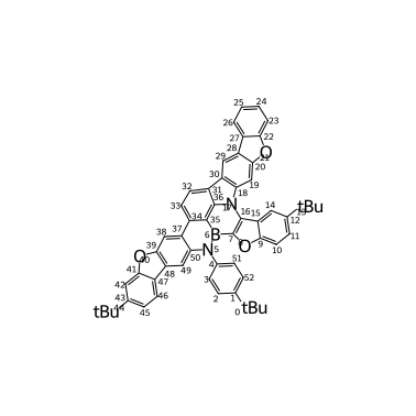 CC(C)(C)c1ccc(N2B3c4oc5ccc(C(C)(C)C)cc5c4-n4c5cc6oc7ccccc7c6cc5c5ccc(c3c54)-c3cc4oc5cc(C(C)(C)C)ccc5c4cc32)cc1